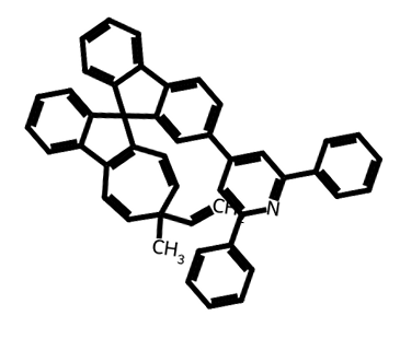 C=CC1(C)C=CC2=C(C=C1)C1(c3ccccc32)c2ccccc2-c2ccc(-c3cc(-c4ccccc4)nc(-c4ccccc4)c3)cc21